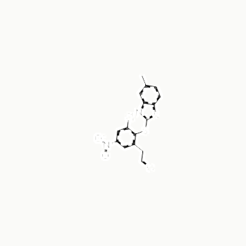 Cc1ccc2sc(Sc3c(Cl)cc([N+](=O)[O-])cc3CC=O)nc2c1